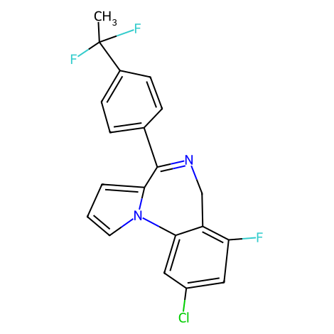 CC(F)(F)c1ccc(C2=NCc3c(F)cc(Cl)cc3-n3cccc32)cc1